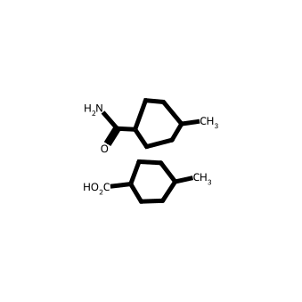 CC1CCC(C(=O)O)CC1.CC1CCC(C(N)=O)CC1